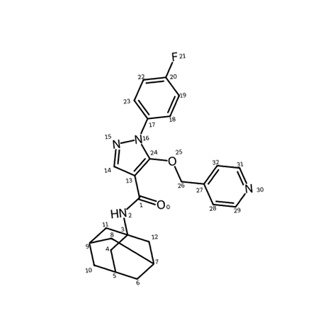 O=C(NC12CC3CC(CC(C3)C1)C2)c1cnn(-c2ccc(F)cc2)c1OCc1ccncc1